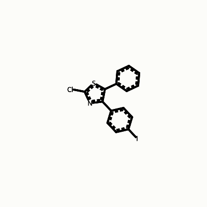 Clc1nc(-c2ccc(I)cc2)c(-c2ccccc2)s1